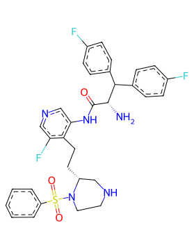 N[C@H](C(=O)Nc1cncc(F)c1CC[C@@H]1CNCCN1S(=O)(=O)c1ccccc1)C(c1ccc(F)cc1)c1ccc(F)cc1